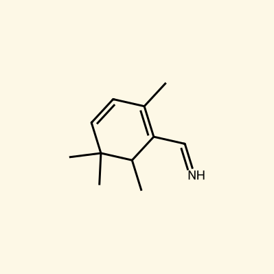 CC1=C(C=N)C(C)C(C)(C)C=C1